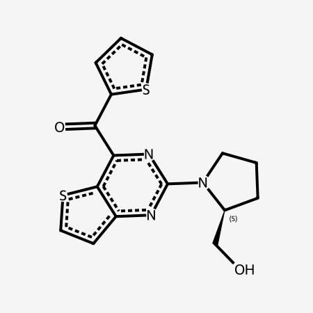 O=C(c1cccs1)c1nc(N2CCC[C@H]2CO)nc2ccsc12